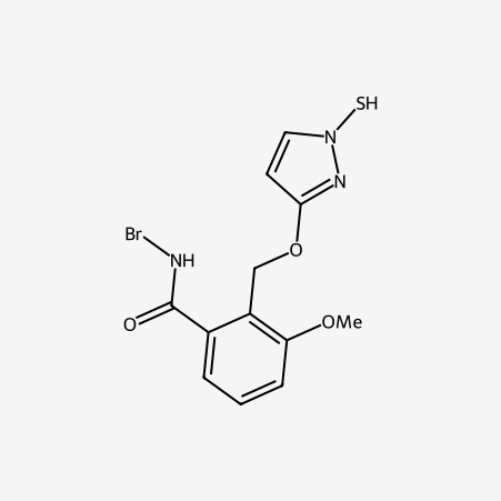 COc1cccc(C(=O)NBr)c1COc1ccn(S)n1